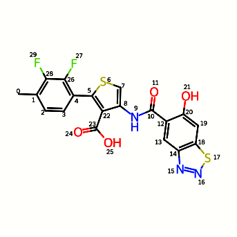 Cc1ccc(-c2scc(NC(=O)c3cc4nnsc4cc3O)c2C(=O)O)c(F)c1F